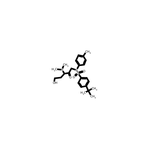 Cc1ccc(N(CC(=O)C(CCO)N(C)C)S(=O)(=O)c2ccc(C(C)(C)C)cc2)cc1